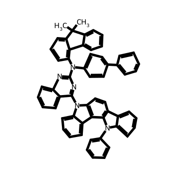 CC1(C)c2ccccc2-c2c(N(c3ccc(-c4ccccc4)cc3)c3nc(-n4c5ccccc5c5c4ccc4c6ccccc6n(-c6ccccc6)c45)c4ccccc4n3)cccc21